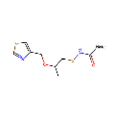 CNC(=O)NSCC(C)OCc1cscn1